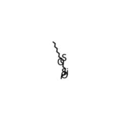 CCCCCCCC(=S)OCCC[Si](C)(C)OCC